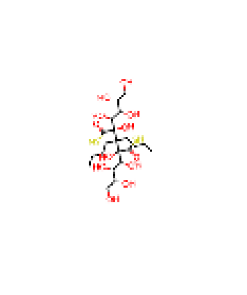 CCCCC(CCCC)([C@](O)(C(=O)S)[C@@H](O)[C@H](O)[C@H](O)CO)[C@](O)(C(=O)S)[C@@H](O)[C@H](O)[C@H](O)CO